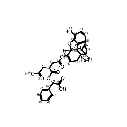 CC(=O)C[C@@H](CC(=O)OC1=CC[C@@]2(O)[C@@H]3CCC[C@@]24c2c(ccc(O)c2O[C@@H]14)C3)C(=O)O[C@H](C(=O)O)c1ccccc1